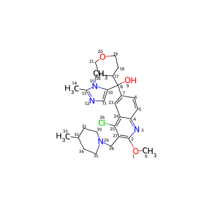 COc1nc2ccc(C(O)(c3cnc(C)n3C)C3CCOCC3)cc2c(Cl)c1CN1CCC(C)CC1